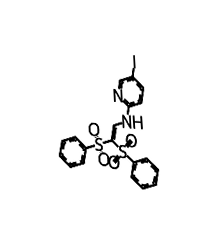 O=S(=O)(C(=CNc1ccc(I)cn1)S(=O)(=O)c1ccccc1)c1ccccc1